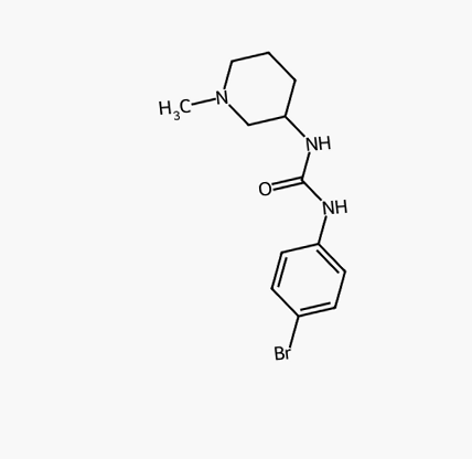 CN1CCCC(NC(=O)Nc2ccc(Br)cc2)C1